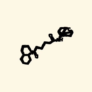 O=C(CCCCC(=O)N1CCCC2CCCCC21)NC1C2CC3CC(C2)CC1C3